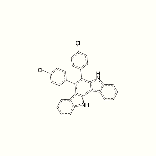 Clc1ccc(-c2c(-c3ccc(Cl)cc3)c3c4ccccc4[nH]c3c3c2[nH]c2ccccc23)cc1